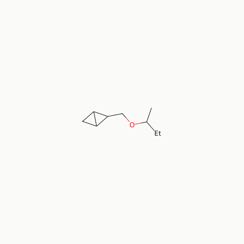 CCC(C)OCC1C2CC12